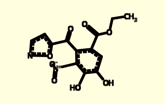 CCOC(=O)c1cc(O)c(O)c([N+](=O)[O-])c1C(=O)c1ccno1